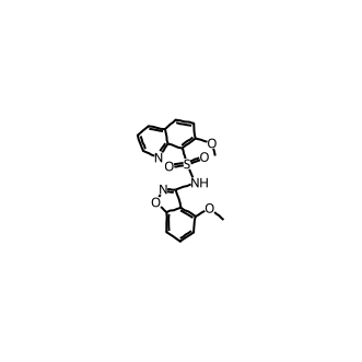 COc1ccc2cccnc2c1S(=O)(=O)Nc1noc2cccc(OC)c12